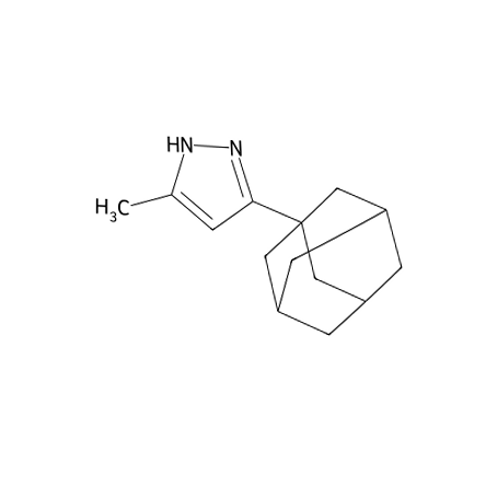 Cc1cc(C23CC4CC(CC(C4)C2)C3)n[nH]1